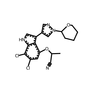 CC(C#N)Oc1cc(Cl)c(Cl)c2[nH]cc(-c3cnn(C4CCCCO4)c3)c12